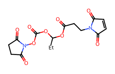 CCC(OC(=O)CCN1C(=O)C=CC1=O)OC(=O)ON1C(=O)CCC1=O